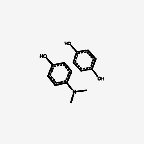 CN(C)c1ccc(O)cc1.Oc1ccc(O)cc1